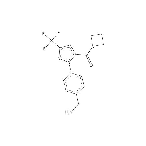 NCc1ccc(-n2nc(C(F)(F)F)cc2C(=O)N2CCC2)cc1